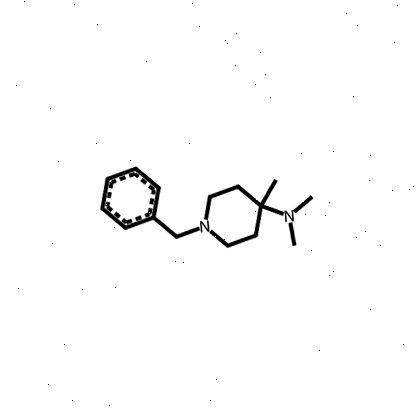 CN(C)C1(C)CCN(Cc2ccccc2)CC1